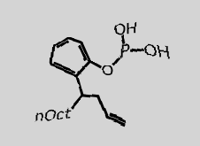 C=CCC(CCCCCCCC)c1ccccc1OP(O)O